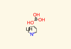 OB(O)O.[LiH].c1ccncc1